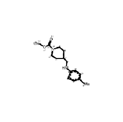 CCC(C)c1ccc(NCC2CCN(C(=O)OC(C)(C)C)CC2)cc1